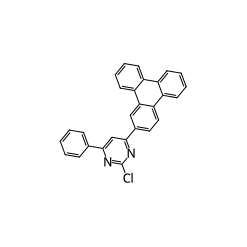 Clc1nc(-c2ccccc2)cc(-c2ccc3c4ccccc4c4ccccc4c3c2)n1